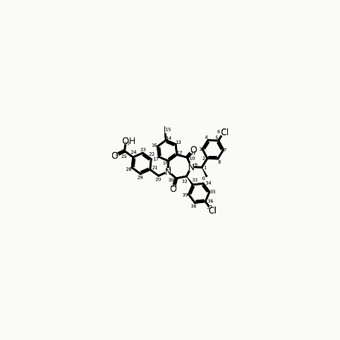 C[C@H](c1ccc(Cl)cc1)N1C(=O)c2cc(I)ccc2N(Cc2ccc(C(=O)O)cc2)C(=O)[C@@H]1c1ccc(Cl)cc1